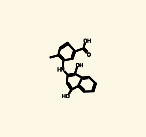 Cc1ccc(C(=O)O)cc1Nc1cc(O)c2ccccc2c1O